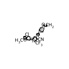 C=CC(=O)N1CCN(C2CN(c3cc(N4CCC5(CC4)O[C@H](C)C=C5Cl)nc(C(F)(F)F)c3C#N)C2)CC1